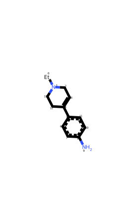 CCN1CC=C(c2ccc(N)cc2)CC1